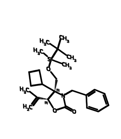 C=C(C)[C@H]1OC(=O)N(Cc2ccccc2)[C@]1(CO[Si](C)(C)C(C)(C)C)C1CCC1